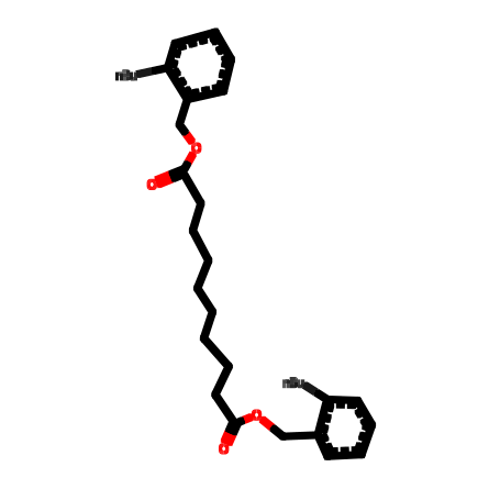 CCCCc1ccccc1COC(=O)CCCCCCCCC(=O)OCc1ccccc1CCCC